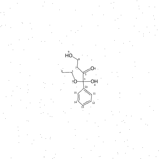 CCOC(O)(C(=O)CCO)c1ccccc1